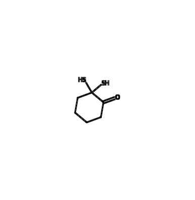 O=C1CCCCC1(S)S